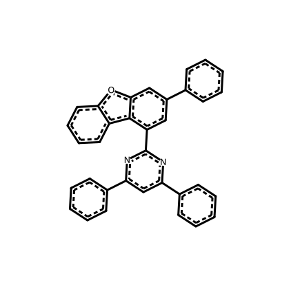 c1ccc(-c2cc(-c3nc(-c4ccccc4)cc(-c4ccccc4)n3)c3c(c2)oc2ccccc23)cc1